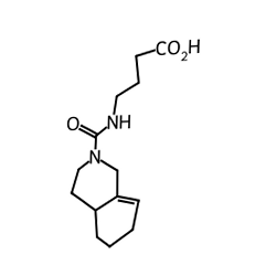 O=C(O)CCCNC(=O)N1CCC2CCCC=C2C1